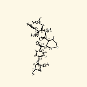 CN/C=C(/NC(=O)C1CCCCC1C(=O)c1ccc(-c2cc(C)n[nH]2)cc1)C(=N)C#N